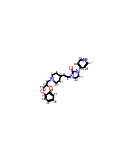 O=C1N(CCC2CCN(CC3COc4ccccc4O3)CC2)CCN1c1ccncc1